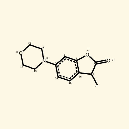 CC1C(=O)Oc2cc(N3CCOCC3)ccc21